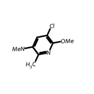 CNc1cc(Cl)c(OC)nc1C